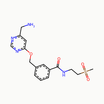 CS(=O)(=O)CCNC(=O)c1cccc(COc2cc(CN)ncn2)c1